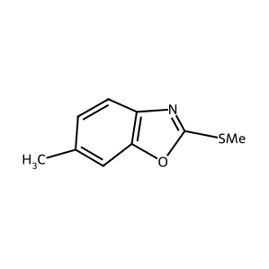 CSc1nc2ccc(C)cc2o1